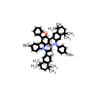 CC(C)(C)c1ccc(Nc2cc3c(cc2-c2c4c5c(c6cc(C(C)(C)C)ccc6n5-c5c(sc6cc7c(cc56)C(C)(C)CCC7(C)C)B4)c4c2oc2ccccc24)C(C)(C)CCC3(C)C)cc1